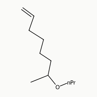 C=CCCCCC(C)OCCC